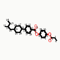 CCC(=O)Oc1ccc(OC(=O)c2ccc(C3CCC(CC(C)CC)CC3)cc2)cc1